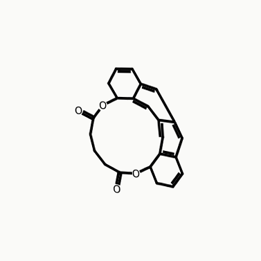 O=C1CCCC(=O)OC2CC=Cc3cc4cc5c(cc4cc32)C(CC=C5)O1